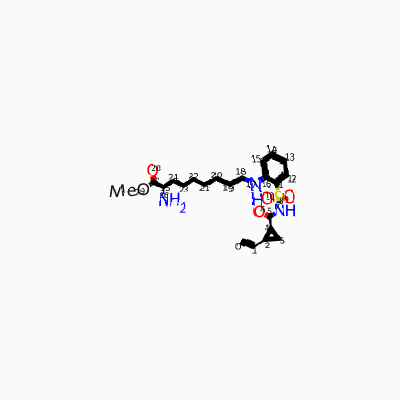 C=C[C@@H]1C[C@@H]1C(=O)NS(=O)(=O)c1ccccc1NCCCCCCC[C@H](N)C(=O)OC